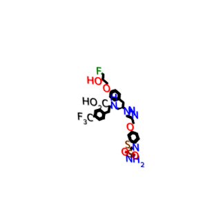 NS(=O)(=O)c1nc2ccc(OCc3cn([C@@H](CN[C@@H](Cc4ccc(C(F)(F)F)cc4)C(=O)O)Cc4ccc(OCC(O)CF)cc4)nn3)cc2s1